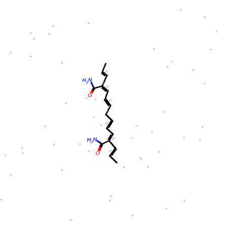 C/C=C/C(=C/C=C/C/C=C/C=C(/C=C/C)C(N)=O)C(N)=O